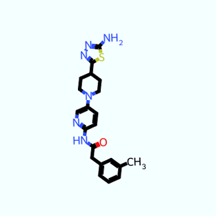 Cc1cccc(CC(=O)Nc2ccc(N3CCC(c4nnc(N)s4)CC3)cn2)c1